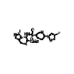 COc1ncc2cnn(C)c2c1NS(=O)(=O)c1ccc(-n2cc(F)cn2)nc1